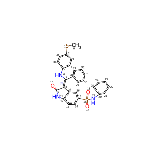 CSc1ccc(N/C(=C2\C(=O)Nc3ccc(S(=O)(=O)Nc4ccccc4)cc32)c2ccccc2)cc1